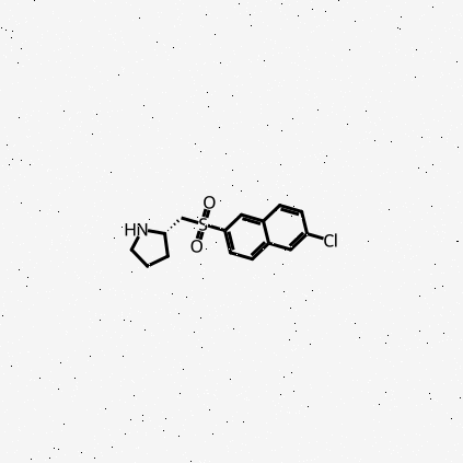 O=S(=O)(C[C@@H]1CCCN1)c1ccc2cc(Cl)ccc2c1